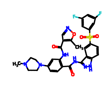 Cc1oncc1C(=O)Nc1cc(N2CCN(C)CC2)ccc1C(=O)Nc1n[nH]c2ccc(S(=O)(=O)c3cc(F)cc(F)c3)cc12